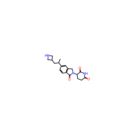 CC(CC1CNC1)c1ccc2c(c1)CN(C1CCC(=O)NC1=O)C2=O